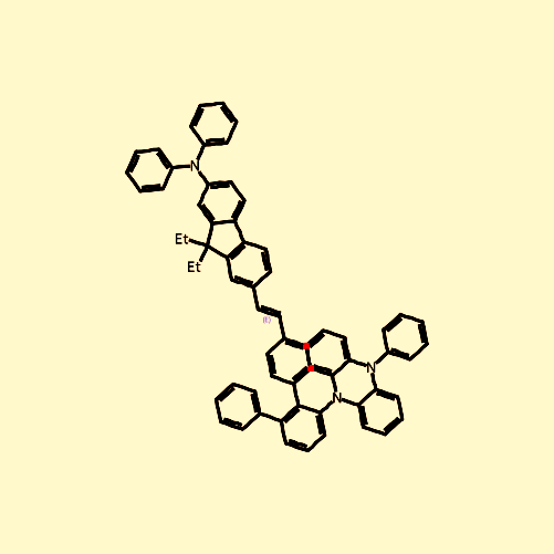 CCC1(CC)c2cc(/C=C/c3ccc(-c4c(-c5ccccc5)cccc4N4c5ccccc5N(c5ccccc5)c5ccccc54)cc3)ccc2-c2ccc(N(c3ccccc3)c3ccccc3)cc21